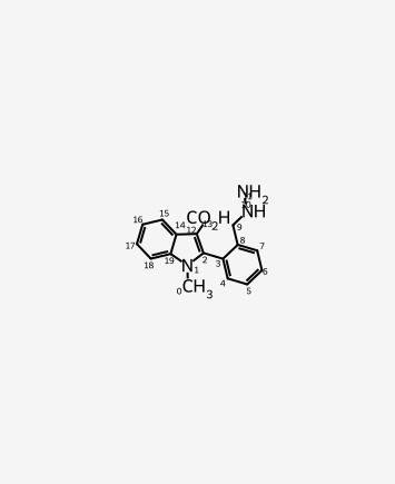 Cn1c(-c2ccccc2CNN)c(C(=O)O)c2ccccc21